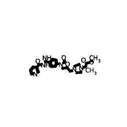 COC(=O)C(C)N1CCN(CC2CN(c3ccc(C(=N)NC(=O)c4cccnc4)cc3)C(=O)O2)CC1